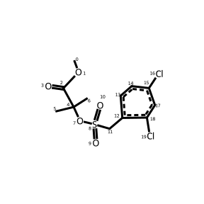 COC(=O)C(C)(C)OS(=O)(=O)Cc1ccc(Cl)cc1Cl